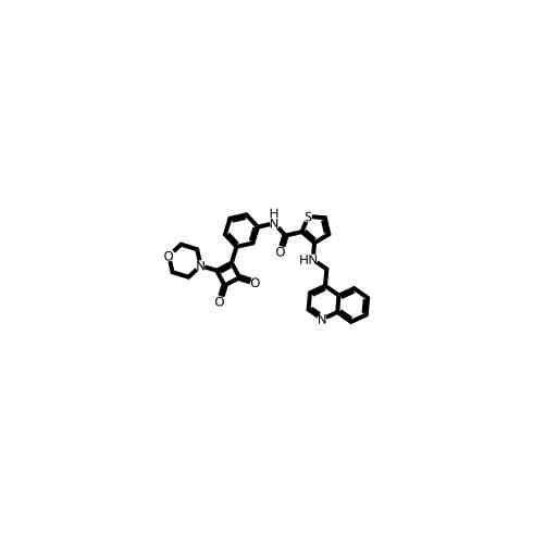 O=C(Nc1cccc(-c2c(N3CCOCC3)c(=O)c2=O)c1)c1sccc1NCc1ccnc2ccccc12